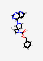 C[C@H]1CN(C(=O)OCc2ccccc2)[C@]12CCN(c1ncnc3[nH]ccc13)C2